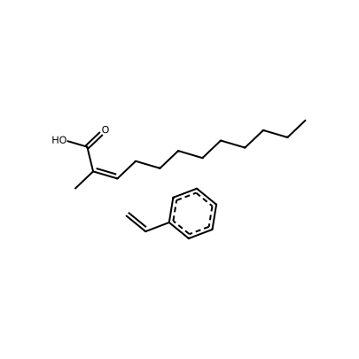 C=Cc1ccccc1.CCCCCCCCCC=C(C)C(=O)O